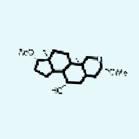 CO[C@@H]1CC2C[C@H](O)C3C(CC[C@@]4(C)C3CC[C@@H]4OC(C)=O)[C@@]2(C)CO1